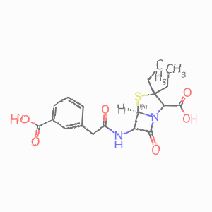 CCC1(CC)S[C@@H]2C(NC(=O)Cc3cccc(C(=O)O)c3)C(=O)N2C1C(=O)O